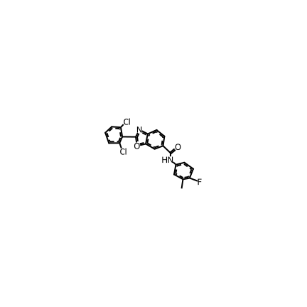 Cc1cc(NC(=O)c2ccc3nc(-c4c(Cl)cccc4Cl)oc3c2)ccc1F